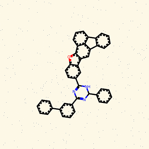 c1ccc(-c2cccc(C3=NC(c4ccccc4)NC(c4ccc5oc6c7cccc8c7c(cc6c5c4)-c4ccccc4-8)=N3)c2)cc1